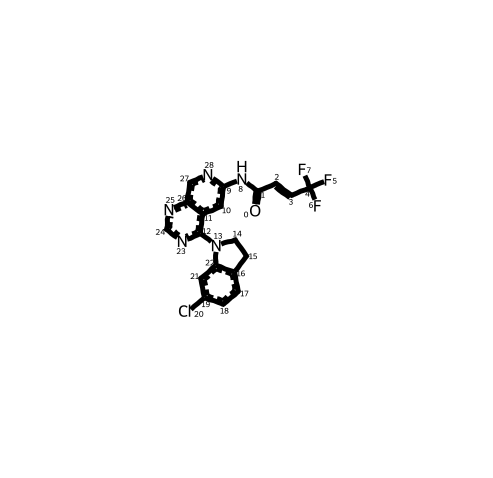 O=C(C=CC(F)(F)F)Nc1cc2c(N3CCc4ccc(Cl)cc43)ncnc2cn1